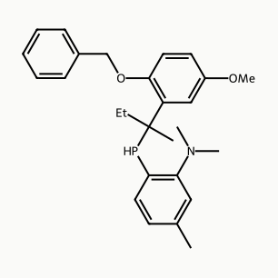 CCC(C)(Pc1ccc(C)cc1N(C)C)c1cc(OC)ccc1OCc1ccccc1